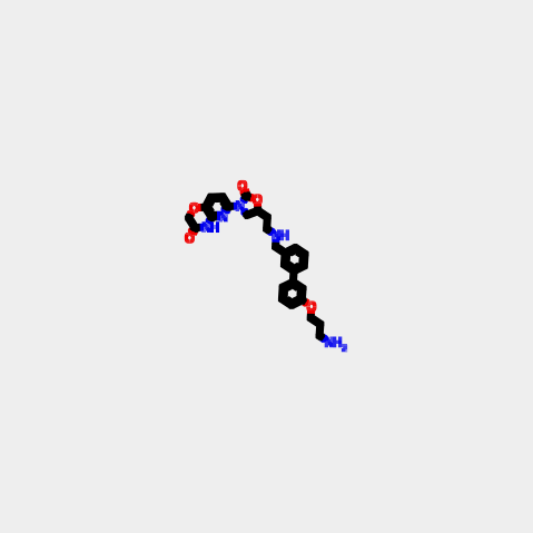 NCCCOc1cccc(-c2cccc(CNCCC3CN(c4ccc5c(n4)NC(=O)CO5)C(=O)O3)c2)c1